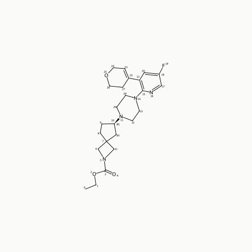 CCOC(=O)N1CC2(CC[C@@H](N3CCN(c4ncc(F)cc4C4=CCOCC4)CC3)C2)C1